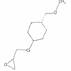 COCC1CCC(OCC2CO2)CC1